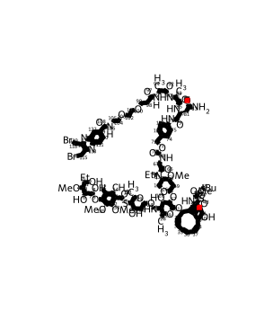 CCC(O)C(OC)C(O)C(O)Oc1c(I)c(C)c(C(=O)SC2C(O)CC(ONC3C(C)OC(O[C@H]4C#C/C=C\C#C[C@]5(O)CC(=O)C(NC(=O)OC)=C4/C5=C\CSSC(C)(C)C)C(OC4CC(OC)C(N(CC)C(=O)CNC(=O)OCc5ccc(NC(=O)[C@H](CC(N)=O)NC(=O)[C@H](C)NC(=O)[C@H](C)NC(=O)CCOCCOCCNC(=O)c6ccc7nc(CBr)c(CBr)nc7c6)cc5)CO4)C3O)OC2C)c(OC)c1OC